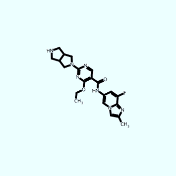 CCOc1nc(N2CC3CNCC3C2)ncc1C(=O)Nc1cc(F)c2nc(C)cn2c1